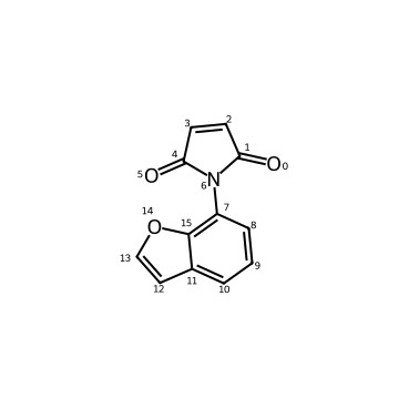 O=C1C=CC(=O)N1c1cccc2ccoc12